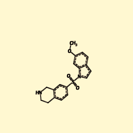 COc1ccc2ccn(S(=O)(=O)c3ccc4c(c3)CNCC4)c2c1